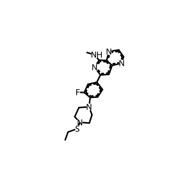 CCSN1CCN(c2ccc(-c3cc4nccnc4c(NC)n3)cc2F)CC1